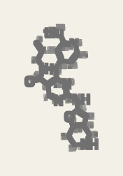 C=CCn1c(=O)c2cnc(Nc3cc4c(o3)CCNC4)nc2n1-c1ccnc(C(C)(C)C)c1